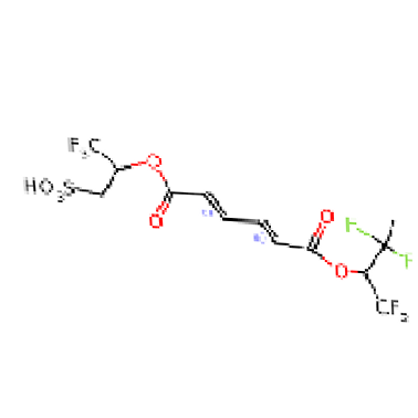 CC(F)(F)C(OC(=O)/C=C/C=C/C(=O)OC(CS(=O)(=O)O)C(F)(F)F)C(F)(F)F